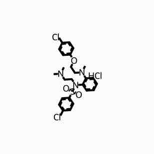 CN(C)CCN(c1ccccc1N(C)CCOc1ccc(Cl)cc1)S(=O)(=O)c1ccc(Cl)cc1.Cl